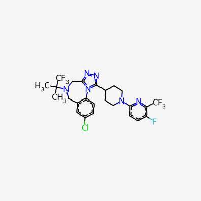 CC(C)(N1Cc2cc(Cl)ccc2-n2c(nnc2C2CCN(c3ccc(F)c(C(F)(F)F)n3)CC2)C1)C(F)(F)F